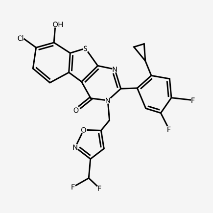 O=c1c2c(nc(-c3cc(F)c(F)cc3C3CC3)n1Cc1cc(C(F)F)no1)sc1c(O)c(Cl)ccc12